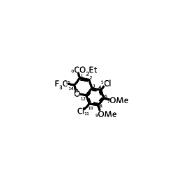 CCOC(=O)C1=Cc2c(Cl)c(OC)c(OC)c(Cl)c2OC1C(F)(F)F